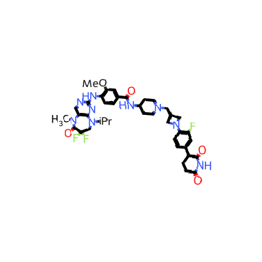 COc1cc(C(=O)NC2CCN(CC3CN(c4ccc(C5CCC(=O)NC5=O)cc4F)C3)CC2)ccc1Nc1ncc2c(n1)N(C(C)C)CC(F)(F)C(=O)N2C